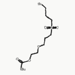 CC(C)(C)CCCS(=O)(=O)CCCOCCOC(=O)C(C)(C)C